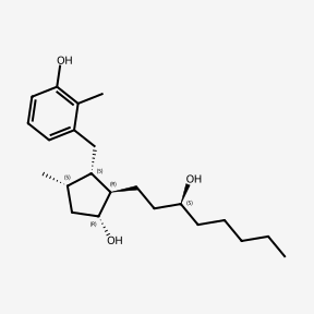 CCCCC[C@H](O)CC[C@@H]1[C@@H](Cc2cccc(O)c2C)[C@@H](C)C[C@H]1O